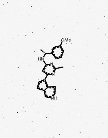 COc1cccc([C@H](C)Nc2cc(-c3ccc4c[nH]ccc3-4)nc(C)n2)c1